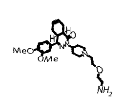 COc1ccc(C2=NN(C3CCN(CCOCCN)CC3)C(=O)[C@@H]3CC=CC[C@H]23)cc1OC